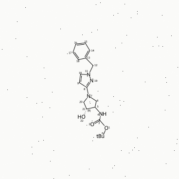 CC(C)(C)OC(=O)NC1CN(c2ccn(Cc3ccccc3)n2)C[C@H]1O